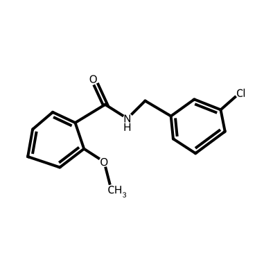 COc1ccccc1C(=O)NCc1cccc(Cl)c1